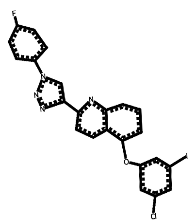 Fc1ccc(-n2cc(-c3ccc4c(Oc5cc(Cl)cc(I)c5)cccc4n3)nn2)cc1